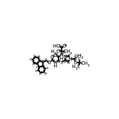 CC(C)(C)OC(=O)n1cnc(C[C@H](NC(=O)OCC2c3ccccc3-c3ccccc32)C(=O)NC(C)(C)C(=O)O)c1